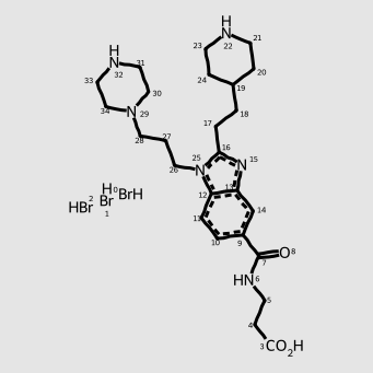 Br.Br.Br.O=C(O)CCNC(=O)c1ccc2c(c1)nc(CCC1CCNCC1)n2CCCN1CCNCC1